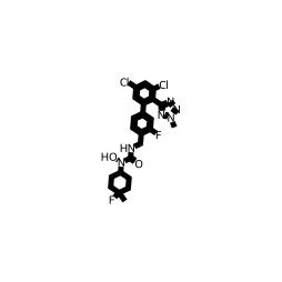 Cn1nnc(-c2c(Cl)cc(Cl)cc2-c2ccc(CNC(=O)N(O)C3CCC(C)(F)CC3)c(F)c2)n1